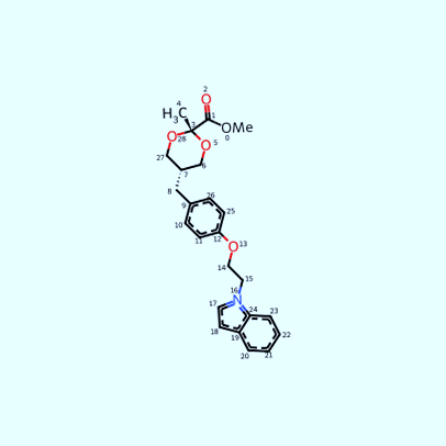 COC(=O)[C@]1(C)OC[C@H](Cc2ccc(OCCn3ccc4ccccc43)cc2)CO1